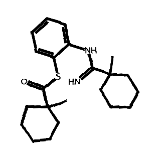 CC1(C(=N)Nc2ccccc2SC(=O)C2(C)CCCCC2)CCCCC1